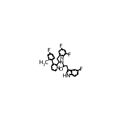 Cc1cc(F)ccc1-c1cccnc1C(Cc1cc(F)cc(F)c1)NC(=O)Cc1c[nH]c2ccc(F)cc12